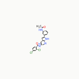 CC(=O)Nc1cccc(-c2cc3cc(NC(=O)c4ccc(Cl)cc4Cl)cnc3[nH]2)c1